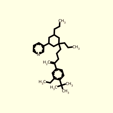 C=C(CCCC1(CCC)CC(CCC)CC(c2cccnc2)C1)c1ccc(C(C)(C)C)c(CC)c1